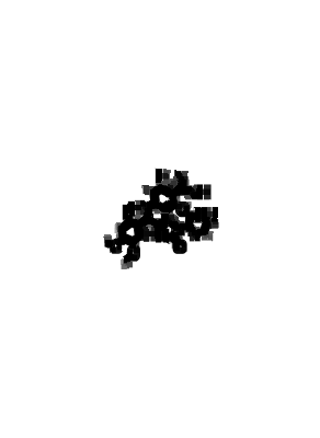 COc1cc(F)c(C(Nc2ccc(C(=N)N)cc2)c2nn(-c3ncc[nH]c3=O)c(=O)[nH]2)cc1OC